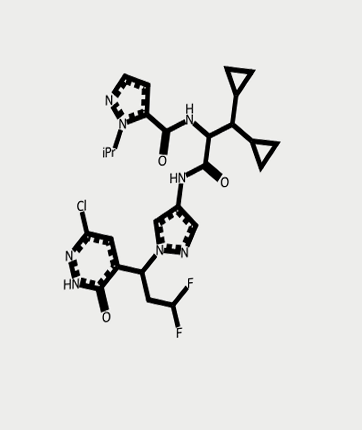 CC(C)n1nccc1C(=O)NC(C(=O)Nc1cnn(C(CC(F)F)c2cc(Cl)n[nH]c2=O)c1)C(C1CC1)C1CC1